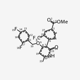 COC(=O)c1ccc(-c2c(OCc3ccc(F)cc3F)cc(C)[nH]c2=O)c(C(F)(F)F)c1